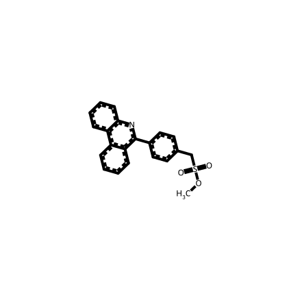 COS(=O)(=O)Cc1ccc(-c2nc3ccccc3c3ccccc23)cc1